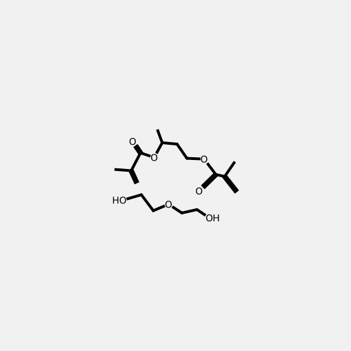 C=C(C)C(=O)OCCC(C)OC(=O)C(=C)C.OCCOCCO